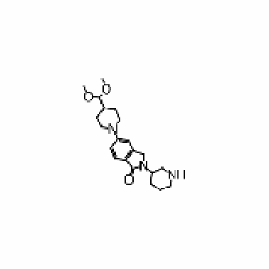 COC(OC)C1CCN(c2ccc3c(c2)CN(C2CCCNC2)C3=O)CC1